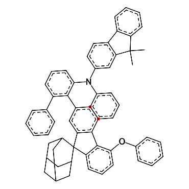 CC1(C)c2ccccc2-c2ccc(N(c3ccccc3)c3cccc(-c4ccccc4)c3-c3ccc4c(c3)C3(c5cccc(Oc6ccccc6)c5-4)C4CC5CC(C4)CC3C5)cc21